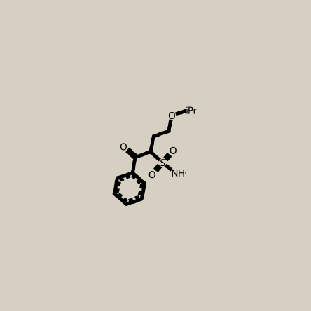 CC(C)OCCC(C(=O)c1ccccc1)S([NH])(=O)=O